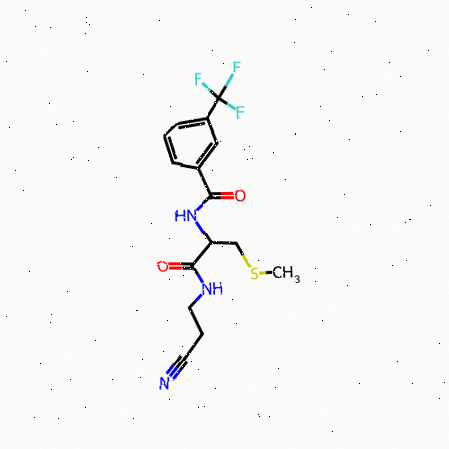 CSCC(NC(=O)c1cccc(C(F)(F)F)c1)C(=O)NCCC#N